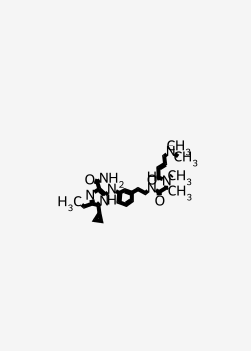 CCc1nc(C(N)=O)c(Nc2cccc(CCNC(=O)[C@H](C)N(C)C(=O)/C=C/CN(C)C)c2)nc1C1CC1